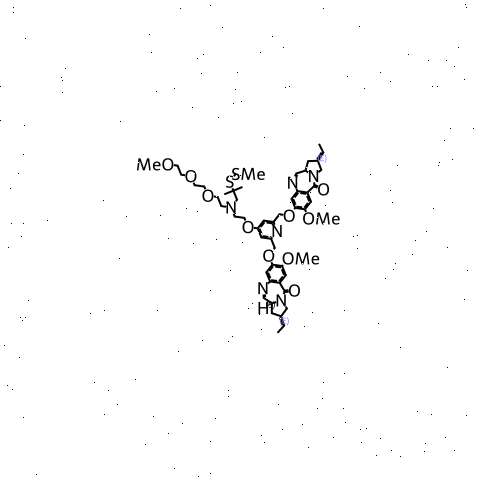 C/C=C1\CC2C=Nc3cc(OCc4cc(OCCN(CCOCCOCCOC)CC(C)(C)SSC)cc(COc5cc6c(cc5OC)C(=O)N5C/C(=C/C)C[C@H]5C=N6)n4)c(OC)cc3C(=O)N2C1